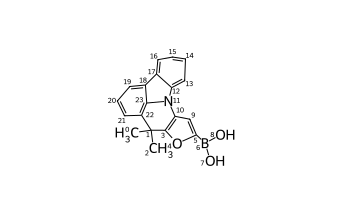 CC1(C)c2oc(B(O)O)cc2-n2c3ccccc3c3cccc1c32